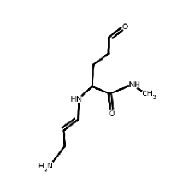 CNC(=O)C(CCC=O)N/C=C/CN